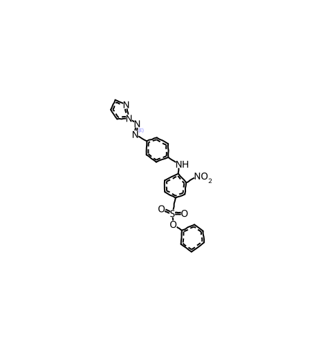 O=[N+]([O-])c1cc(S(=O)(=O)Oc2ccccc2)ccc1Nc1ccc(/N=N/n2cccn2)cc1